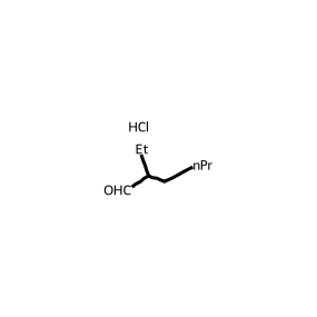 CCCCC(C=O)CC.Cl